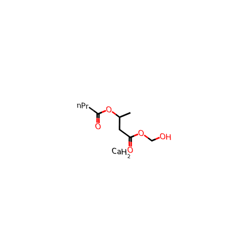 CCCC(=O)OC(C)CC(=O)OCO.[CaH2]